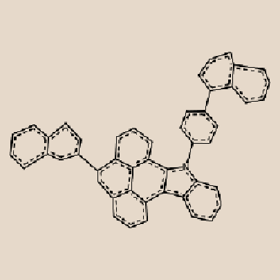 c1ccc2cc(-c3cc4cccc5c4c4c3cccc4c3c5c4ccccc4n3-c3ccc(-c4cccc5ccccc45)cc3)ccc2c1